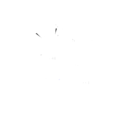 N[C@@H](CN1CCSC1=O)[C@@H]1CCCC[C@H]1O.O=C(O)/C=C/C(=O)O